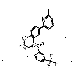 Cc1cccc(-c2ccc3c(c2)N([S+]([O-])c2cccc(C(F)(F)F)c2)C[C@H](C)O3)n1